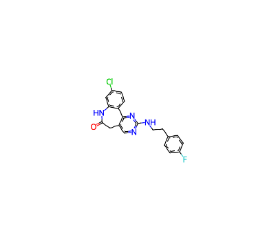 O=C1Cc2cnc(NCCc3ccc(F)cc3)nc2-c2ccc(Cl)cc2N1